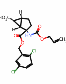 C=CCOC(=O)N[C@@]1(C(=O)OCc2cc(Cl)ccc2Cl)CC[C@H]2[C@H](C(=O)O)[C@H]21